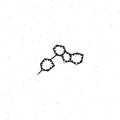 Clc1ccc(-c2cccc3c2oc2ncccc23)cc1